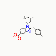 COC(=O)c1ccc2c(c1)nc(Cc1ccc(C)cc1)n2[C@H]1C[C@@H](C)CC(C)(C)C1